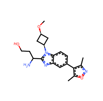 CO[C@H]1C[C@@H](n2c(C(N)CCO)nc3cc(-c4c(C)noc4C)ccc32)C1